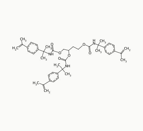 C=C(C)c1ccc(C(C)(C)NC(=O)OCCC(COC(=O)NC(C)(C)c2ccc(C(=C)C)cc2)OC(=O)NC(C)(C)c2ccc(C(=C)C)cc2)cc1